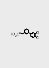 O=C(O)CCc1cccc(-c2ccc(Cl)c(Cl)c2)c1